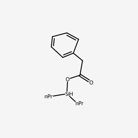 CCC[SiH](CCC)OC(=O)Cc1ccccc1